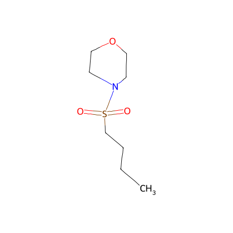 CCCCS(=O)(=O)N1CCOCC1